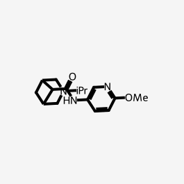 COc1ccc(NC(=O)C2C3CC2CN(C(C)C)C3)cn1